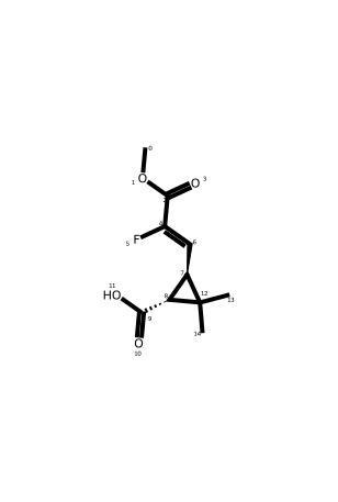 COC(=O)/C(F)=C/[C@@H]1[C@@H](C(=O)O)C1(C)C